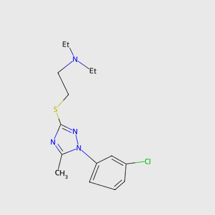 CCN(CC)CCSc1nc(C)n(-c2cccc(Cl)c2)n1